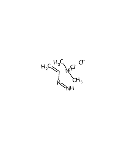 C=CN=N.[CH3][Ni+2][CH3].[Cl-].[Cl-]